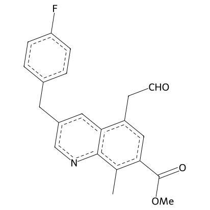 COC(=O)c1cc(CC=O)c2cc(Cc3ccc(F)cc3)cnc2c1C